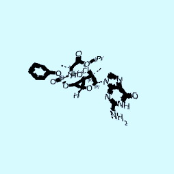 CC(C)OC(=O)[C@@H](C)N[P@@](=O)(Oc1ccccc1)OC1[C@H]2O[C@@H](n3cnc4c(=O)[nH]c(N)nc43)[C@](C)(Cl)[C@@]12O